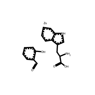 NC(Cc1c[nH]c2ccccc12)C(=O)O.O=Cc1ccccc1O.[Zn]